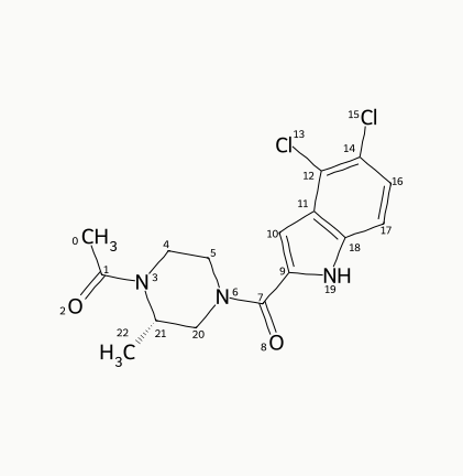 CC(=O)N1CCN(C(=O)c2cc3c(Cl)c(Cl)ccc3[nH]2)C[C@@H]1C